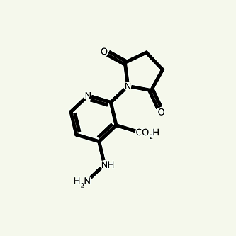 NNc1ccnc(N2C(=O)CCC2=O)c1C(=O)O